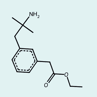 CCOC(=O)Cc1cccc(CC(C)(C)N)c1